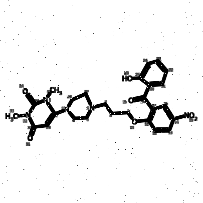 Cn1c(N2CCN(CCCOc3ccc([N+](=O)[O-])cc3C(=O)c3ccccc3O)CC2)cc(=O)n(C)c1=O